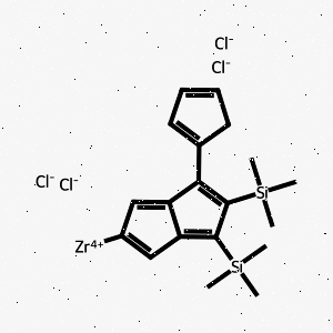 C[Si](C)(C)C1=C2C=[C]([Zr+4])C=C2C(C2=CC=CC2)=C1[Si](C)(C)C.[Cl-].[Cl-].[Cl-].[Cl-]